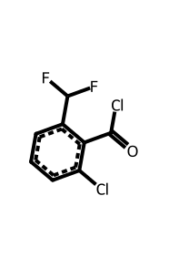 O=C(Cl)c1c(Cl)cccc1C(F)F